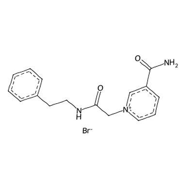 NC(=O)c1ccc[n+](CC(=O)NCCc2ccccc2)c1.[Br-]